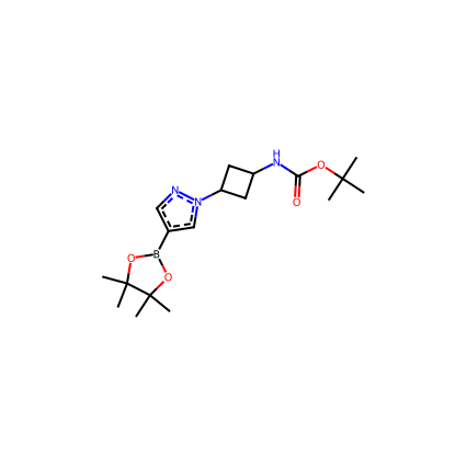 CC(C)(C)OC(=O)NC1CC(n2cc(B3OC(C)(C)C(C)(C)O3)cn2)C1